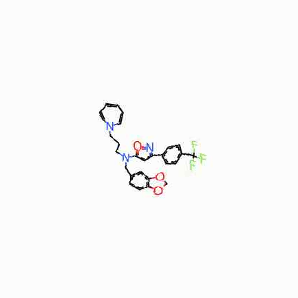 FC(F)(F)c1ccc(-c2cc(N(CCCN3C=CC=CC=C3)Cc3ccc4c(c3)OCO4)on2)cc1